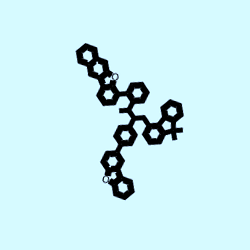 CC(c1ccccc1-c1cccc2c1oc1cc3ccccc3cc12)C(Cc1cccc2c1-c1ccccc1C2(C)C)c1ccc(-c2ccc3oc4ccccc4c3c2)cc1